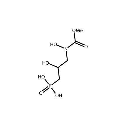 COC(=O)N(O)CC(O)CP(=O)(O)O